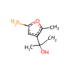 Cc1oc(P)cc1C(C)(C)O